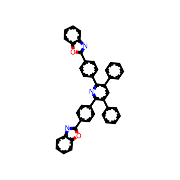 c1ccc(-c2cc(-c3ccccc3)c(-c3ccc(-c4nc5ccccc5o4)cc3)nc2-c2ccc(-c3nc4ccccc4o3)cc2)cc1